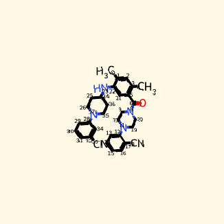 Cc1cc(C)c(C(=O)N2CCN(c3ccccc3C#N)CC2)cc1NC1CCN(c2cccc(C#N)c2)CC1